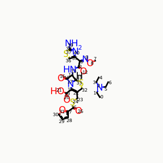 CCN(CC)CC.CO/N=C(\C(=O)N[C@@H]1C(=O)N2C(C(=O)O)=C(CSC(=O)c3ccco3)CS[C@H]12)c1csc(N)n1